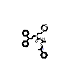 C=C(NC(=O)N(CCC(c1ccccc1)c1ccccc1)CCN1CCOCC1)S/C=C(\C)c1ccccc1